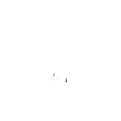 C=C[C@@H]1CC[C@@H](OC(C)=O)[C@@](C)(NC(C)=O)C1